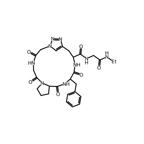 CCNC(=O)CNC(=O)C1Cc2cn(nn2)CC(=O)NCC(=O)N2CCCC2C(=O)NC(Cc2ccccc2)C(=O)N1